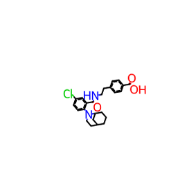 O=C(O)c1ccc(CCNC(=O)c2cc(Cl)ccc2N2CCC3CCCC2C3)cc1